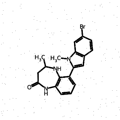 CC1CC(=O)Nc2cccc(-c3cc4ccc(Br)cc4n3C)c2N1